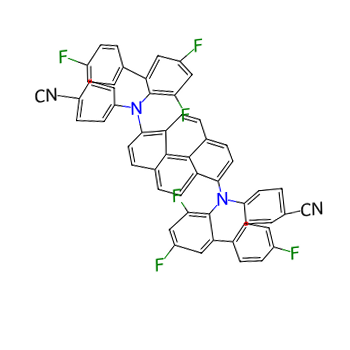 [C-]#[N+]c1ccc(N(c2c(F)cc(F)cc2-c2ccc(F)cc2)c2ccc3ccc4c(N(c5ccc(C#N)cc5)c5c(F)cc(F)cc5-c5ccc(F)cc5)ccc5ccc2c3c54)cc1